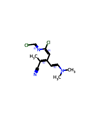 C/C(C#N)=C(/C=C/N(C)C)\C=C(Cl)/N=C/Cl